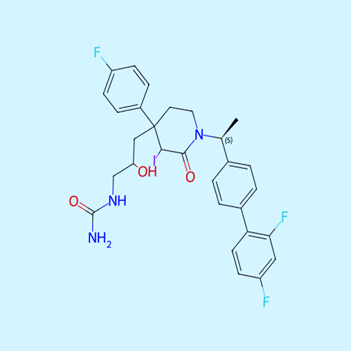 C[C@@H](c1ccc(-c2ccc(F)cc2F)cc1)N1CCC(CC(O)CNC(N)=O)(c2ccc(F)cc2)C(I)C1=O